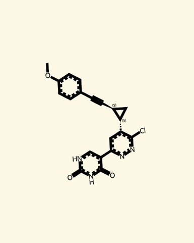 COc1ccc(C#C[C@H]2C[C@@H]2c2cc(-c3c[nH]c(=O)[nH]c3=O)nnc2Cl)cc1